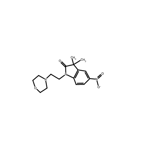 CC1(C)C(=O)N(CCN2CCOCC2)c2ccc([N+](=O)[O-])cc21